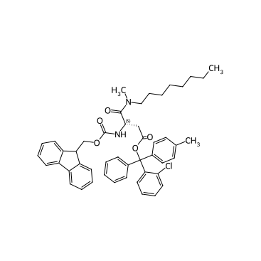 CCCCCCCCN(C)C(=O)[C@H](CC(=O)OC(c1ccccc1)(c1ccc(C)cc1)c1ccccc1Cl)NC(=O)OCC1c2ccccc2-c2ccccc21